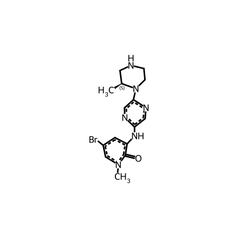 C[C@H]1CNCCN1c1cnc(Nc2cc(Br)cn(C)c2=O)cn1